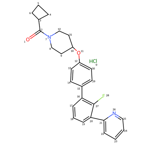 Cl.O=C(C1CCC1)N1CCC(Oc2ccc(-c3cccc(-c4ccccn4)c3F)cc2)CC1